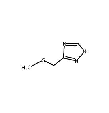 CSCC1=N[N]C=N1